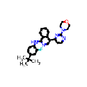 CC(C)(C)c1ccc(Nc2ncc(-c3ccnc(N4CCOCC4)n3)c3ccccc23)c(F)c1